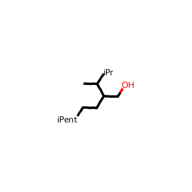 CCCC(C)CCC(CO)C(C)C(C)C